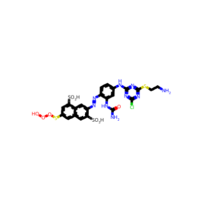 NCCSc1nc(Cl)nc(Nc2ccc(/N=N/c3cc4c(S(=O)(=O)O)cc(SOOO)cc4cc3S(=O)(=O)O)c(NC(N)=O)c2)n1